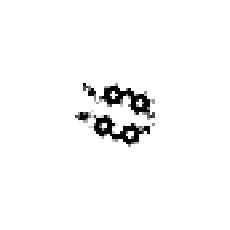 N#COc1ccc(Cc2ccc(N=C=Nc3ccc(Cc4ccc(OC#N)cc4)cc3)cc2)cc1